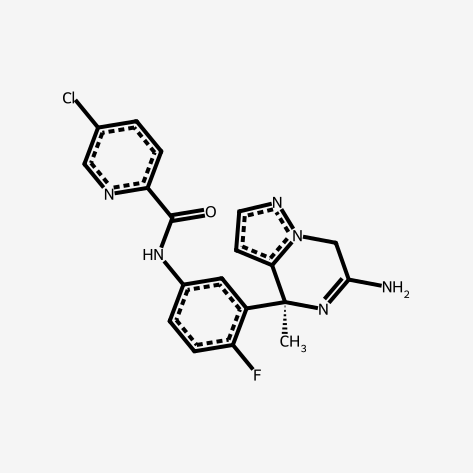 C[C@@]1(c2cc(NC(=O)c3ccc(Cl)cn3)ccc2F)N=C(N)Cn2nccc21